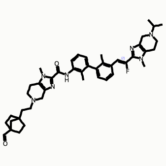 Cc1c(/C=C(\F)c2nc3c(n2C)CCN(C(C)C)C3)cccc1-c1cccc(NC(=O)c2nc3c(n2C)CCN(CCC24CCC(C=O)(CC2)C4)C3)c1C